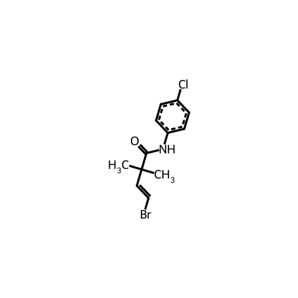 CC(C)(/C=C/Br)C(=O)Nc1ccc(Cl)cc1